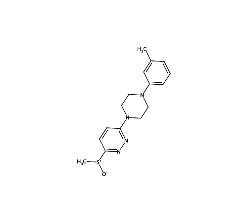 Cc1cccc(N2CCN(c3ccc([S+](C)[O-])nn3)CC2)c1